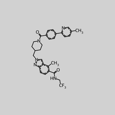 Cc1ccc(-c2ccc(C(=O)N3CCC(Cn4cc5c(C)c(C(=O)NCC(F)(F)F)ccc5n4)CC3)cc2)nc1